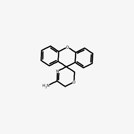 NC1=NC2(CO[CH]1)c1ccccc1Oc1ccccc12